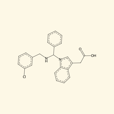 O=C(O)Cc1cn(C(NCc2cccc(Cl)c2)c2ccccc2)c2ccccc12